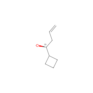 C=CC[C@H]([O])C1CCC1